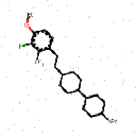 CCCC1CCC(C2CCC(CCc3ccc(OCC)c(F)c3C(F)(F)F)CC2)CC1